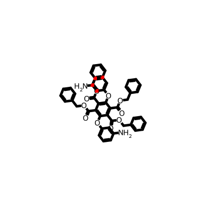 Nc1cccc(Oc2c(C(=O)OCc3ccccc3)c(C(=O)OCc3ccccc3)c(Oc3cccc(N)c3)c(C(=O)OCc3ccccc3)c2C(=O)OCc2ccccc2)c1